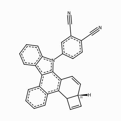 N#Cc1ccc(-n2c3ccccc3c3c4ccccc4c4c(c32)C=C[C@@H]2C=CC42)cc1C#N